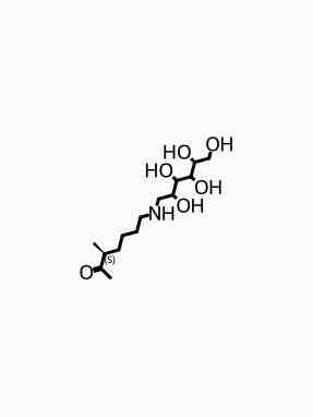 CC(=O)[C@@H](C)CCCCNCC(O)C(O)C(O)C(O)CO